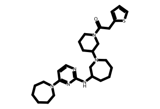 O=C(Cc1cccs1)N1CCCC(N2CCCCC(Nc3nccc(N4CCCCCC4)n3)C2)C1